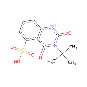 CC(C)(C)n1c(=O)[nH]c2cccc(S(=O)(=O)O)c2c1=O